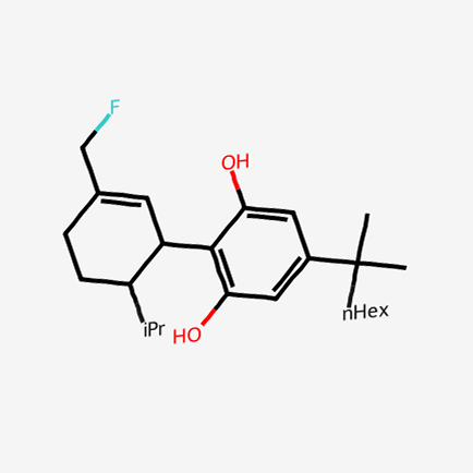 CCCCCCC(C)(C)c1cc(O)c(C2C=C(CF)CCC2C(C)C)c(O)c1